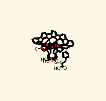 O=C(O)CCc1ccc([C@]23C4=C5[C@]6(c7ccc(CCC(=O)O)cc7)c7c8ccc(c72)-c2ccc7c(c23)[C@]2(c3ccc(CCC(=O)O)cc3)C4=C3[C@@]4(c9ccc(CCC(=O)O)cc9)c9c(ccc-7c92)-c2ccc7c(c24)[C@@](c2ccc(CCC(=O)O)cc2)(c2c-7ccc-8c26)[C@@]53Cl)cc1